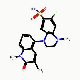 Cc1cc2c(N3CCN(C)c4cc(F)c(S(N)(=O)=O)cc43)cccc2n(C)c1=O